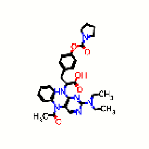 CCN(CC)c1ncc(N(C(C)=O)c2ccccc2)c(N[C@@H](Cc2ccc(OC(=O)N3CCCC3)cc2)C(=O)O)n1